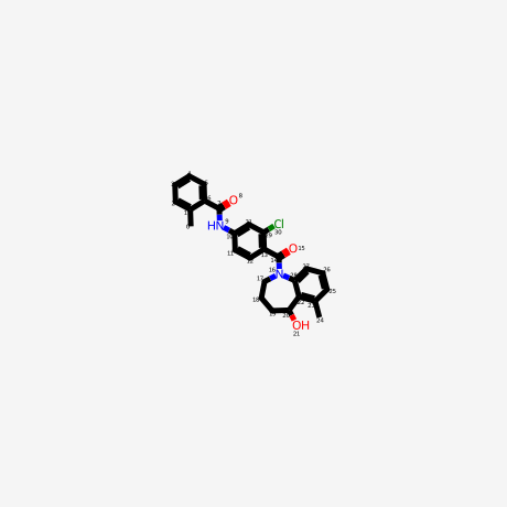 Cc1ccccc1C(=O)Nc1ccc(C(=O)N2CCCC(O)c3c(C)cccc32)c(Cl)c1